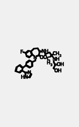 CC(C)(CC(=O)N[C@@H]1CCc2cc(F)ccc2N(Cc2ccc(-c3ccccc3-c3ncc[nH]3)cc2)C1=O)NC[C@H](O)CO